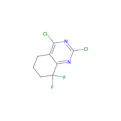 FC1(F)CCCc2c(Cl)nc(Cl)nc21